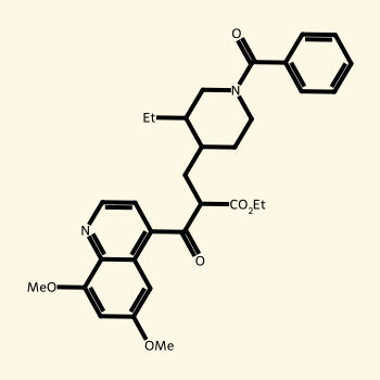 CCOC(=O)C(CC1CCN(C(=O)c2ccccc2)CC1CC)C(=O)c1ccnc2c(OC)cc(OC)cc12